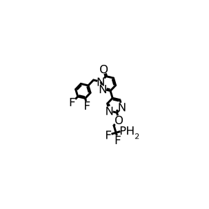 O=c1ccc(-c2cnc(OCC(F)(F)P)nc2)nn1Cc1ccc(F)c(F)c1